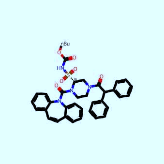 CCCCOC(=O)NS(=O)(=O)[C@@H]1CN(C(=O)C(c2ccccc2)c2ccccc2)CCN1C(=O)N1c2ccccc2C=Cc2ccccc21